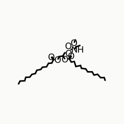 CCCCCCCCCCCCCC(=O)OCC(COC(=O)NC(C)OC)OC(=O)CCCCCCCCCCCCC